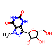 Cn1nc([C@@H]2O[C@H](CO)[C@@H](O)[C@H]2O)c2[nH]c(=O)[nH]c(=O)c21